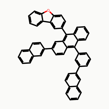 c1cc(-c2ccc3ccccc3c2)cc(-c2c3ccccc3c(-c3ccc4oc5ccccc5c4c3)c3cc(-c4ccc5ccccc5c4)ccc23)c1